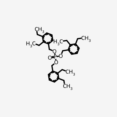 CCc1cccc(COP(=O)(OCc2cccc(CC)c2CC)OCc2cccc(CC)c2CC)c1CC